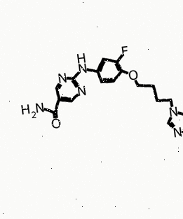 NC(=O)c1cnc(Nc2ccc(OCCCCn3ccnc3)c(F)c2)nc1